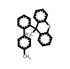 Cc1ccc(-c2ccccc2C2(C)c3ccccc3Sc3ccccc32)cc1